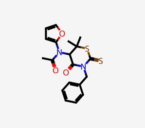 CC(=O)N(c1ccco1)C1C(=O)N(Cc2ccccc2)C(=S)SC1(C)C